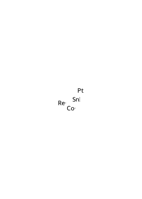 [Co].[Pt].[Re].[Sn]